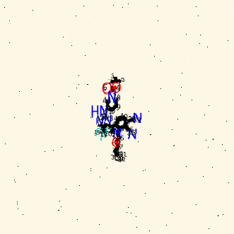 CC(C)(C)OC(=O)N1CCC[C@H](Nc2ncc(C(F)(F)F)c(-c3cn(COCC[Si](C)(C)C)c4c(C#N)c(C#N)ccc34)n2)C1